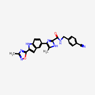 Cc1noc(-c2cc3cc(-c4nc(C(=O)NCc5ccc(C#N)cc5)[nH]c4C)ccc3[nH]2)n1